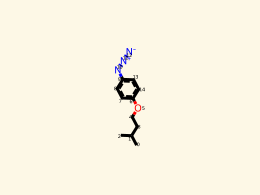 CC(C)CCOc1ccc(N=[N+]=[N-])cc1